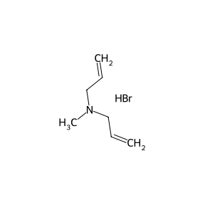 Br.C=CCN(C)CC=C